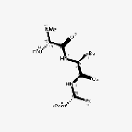 CCCCC[C@H](NC(=O)[C@H](CCCC)NC(=O)[C@H](CCCC)NC)C(C)=O